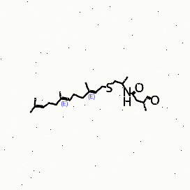 CC(C)=CCC/C(C)=C/CC/C(C)=C/CSCC(C)NC(=O)CC(C)C=O